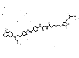 CCCN(CCc1ccc(/N=N/c2ccc(NC(=O)CNC(=O)CCOCCN3C=C(CCC(=O)O)NN3)cc2)cc1)C1CCc2c(O)cccc2C1